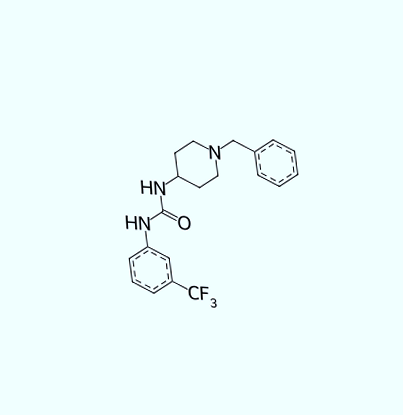 O=C(Nc1cccc(C(F)(F)F)c1)NC1CCN(Cc2ccccc2)CC1